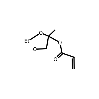 C=CC(=O)OC(C)(C[O])OCC